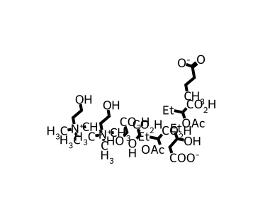 CCC(O)CC(=O)[O-].CCC(OC(C)=O)C(=O)O.CCC(OC(C)=O)C(=O)O.CCCC(=O)[O-].C[N+](C)(C)CCO.C[N+](C)(C)CCO.O=C(O)CO.O=C(O)CO